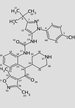 Cc1ccc(-n2nc(C(C)(C)C)cc2NC(=O)Nc2ccccc2C(C(=O)c2c(C)noc2C)C2CCNCC2)cc1